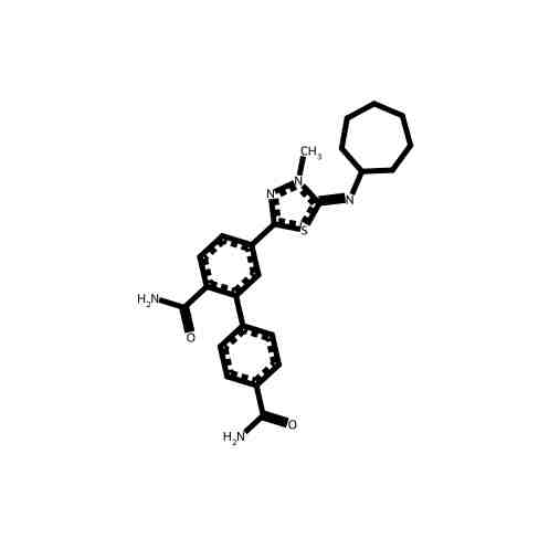 Cn1nc(-c2ccc(C(N)=O)c(-c3ccc(C(N)=O)cc3)c2)sc1=NC1CCCCCC1